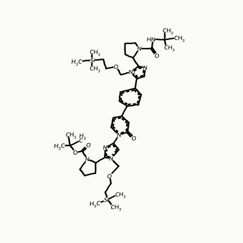 CC(C)(C)NC(=O)N1CCCC1c1ncc(-c2ccc(-c3ccn(-c4cn(COCC[Si](C)(C)C)c(C5CCCN5C(=O)OC(C)(C)C)n4)c(=O)c3)cc2)n1COCC[Si](C)(C)C